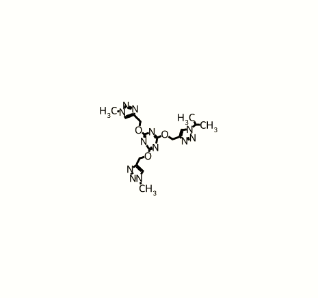 CC(C)n1cc(COc2nc(OCc3cn(C)nn3)nc(OCc3cn(C)nn3)n2)nn1